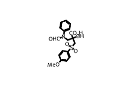 COc1ccc(S(=O)(=O)CC(O)(CN(C=O)c2ccccc2)C(=O)O)cc1